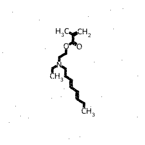 C=C(C)C(=O)OCCN(CC)CCC=CC=CCC